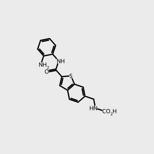 Nc1ccccc1NC(=O)c1cc2ccc(CNC(=O)O)cc2s1